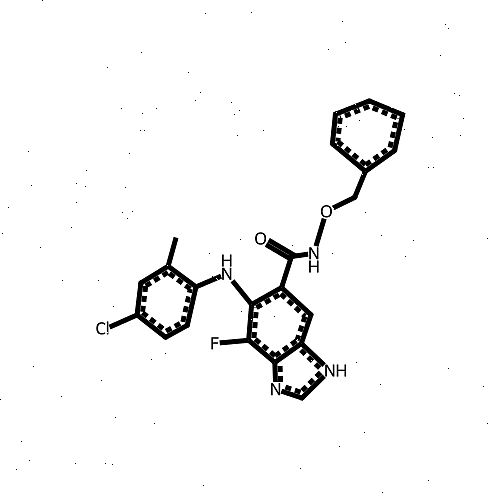 Cc1cc(Cl)ccc1Nc1c(C(=O)NOCc2ccccc2)cc2[nH]cnc2c1F